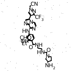 CCc1cc(Nc2nccn3c(-c4cn(CC#N)nc4C(F)(F)F)cnc23)ccc1C(=O)NCCNC(=O)N1CC[C@@H](N)C1.O=CO